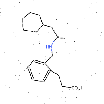 CC(CC1CCCCC1)NCc1ccccc1CCC(=O)O